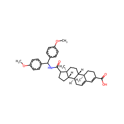 COc1ccc(C(NC(=O)C2CC[C@H]3[C@@H]4CC=C5C=C(C(=O)O)CC[C@]5(C)[C@H]4CC[C@]23C)c2ccc(OC)cc2)cc1